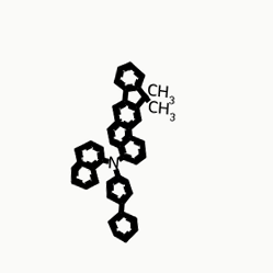 CC1(C)c2ccccc2-c2cc3ccc4c(N(c5ccc(-c6ccccc6)cc5)c5cccc6ccccc56)cccc4c3cc21